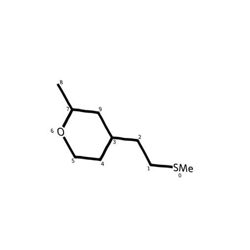 CSCCC1CCOC(C)C1